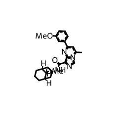 COc1cccc(-c2cc(C)n3cnc(C(=O)N[C@H]4C[C@H]5CCC[C@@H](C4)[C@@H]5OC)c3n2)c1